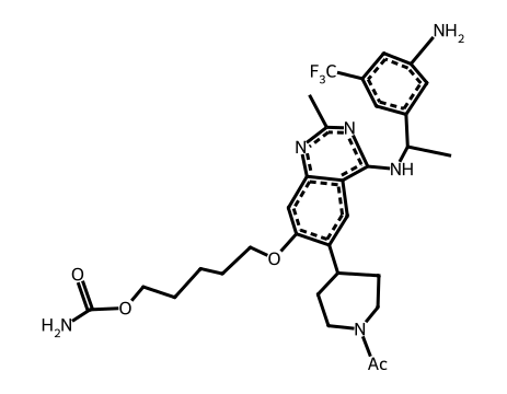 CC(=O)N1CCC(c2cc3c(NC(C)c4cc(N)cc(C(F)(F)F)c4)nc(C)nc3cc2OCCCCCOC(N)=O)CC1